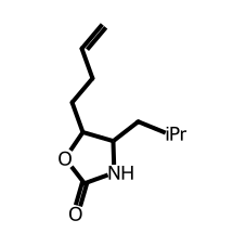 C=CCCC1OC(=O)NC1CC(C)C